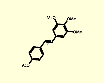 COc1cc(/C=C/c2ccc(OC(C)=O)cc2)cc(OC)c1OC